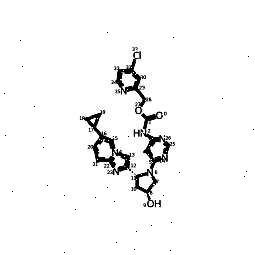 O=C(Nc1cc(N2C[C@@H](O)C[C@@H]2c2cn3cc(C4CC4)ccc3n2)ncn1)OCc1cc(Cl)ccn1